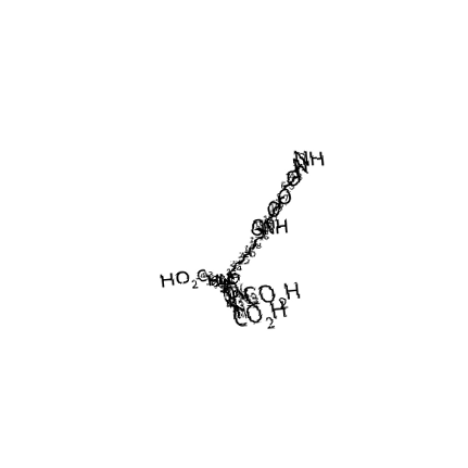 N=NCCOCCOCCOCCNC(=O)CCCCCCCCCCC(=O)NC(COCCC(=O)O)(COCCC(=O)O)COCCC(=O)O